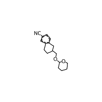 N#Cc1ccc2c(c1)CCC(COC1CCCCO1)C2